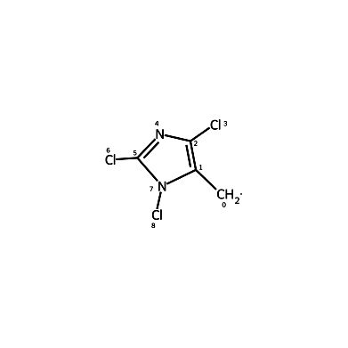 [CH2]c1c(Cl)nc(Cl)n1Cl